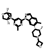 Cc1nc(N2C[C@H]3C[C@@H]2CO3)cc(-n2ncc3cc(C)c([C@H]4CCN(C5COC5)C[C@H]4F)cc32)n1